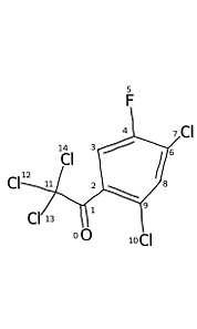 O=C(c1cc(F)c(Cl)cc1Cl)C(Cl)(Cl)Cl